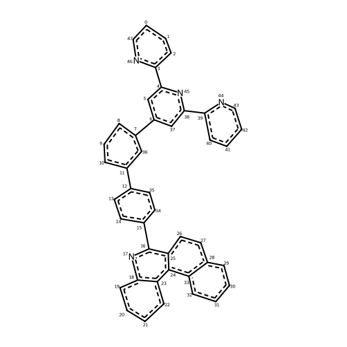 c1ccc(-c2cc(-c3cccc(-c4ccc(-c5nc6ccccc6c6c5ccc5ccccc56)cc4)c3)cc(-c3ccccn3)n2)nc1